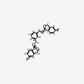 Fc1ccc2c(c1)COB2OCc1cccc(COB2OCc3cc(F)ccc32)c1